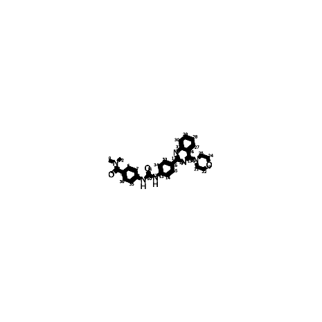 CN(C)C(=O)c1ccc(NC(=O)Nc2ccc(-c3nc(N4CCOCC4)c4ccccc4n3)cc2)cc1